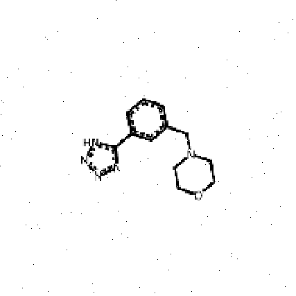 [c]1cc(CN2CCOCC2)cc(-c2nnn[nH]2)c1